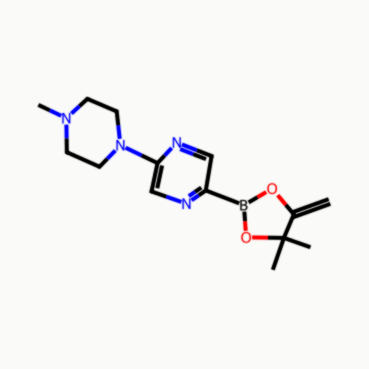 C=C1OB(c2cnc(N3CCN(C)CC3)cn2)OC1(C)C